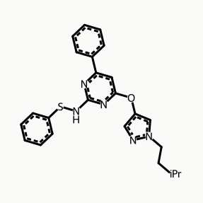 CC(C)CCn1cc(Oc2cc(-c3ccccc3)nc(NSc3ccccc3)n2)cn1